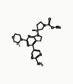 C[C@@H]1COCCN1c1nc(-c2cnc(N)nc2)c2c(n1)N([C@]1(C)CCN(C(=O)OC(C)(C)C)C1)CC2